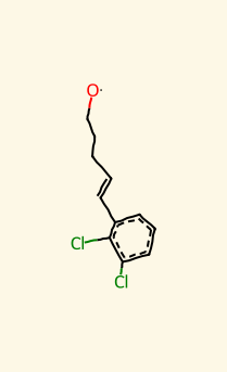 [O]CCC/C=C/c1cccc(Cl)c1Cl